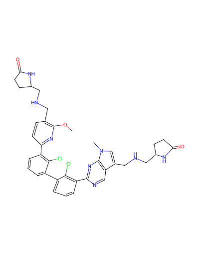 COc1nc(-c2cccc(-c3cccc(-c4ncc5c(CNCC6CCC(=O)N6)cn(C)c5n4)c3Cl)c2Cl)ccc1CNCC1CCC(=O)N1